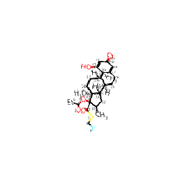 CCC(=O)OC1(C(=O)SCF)C(C)C[C@H]2[C@@H]3CCC4=CC(=O)C=C(O)[C@]4(C)[C@H]3CC[C@@]21C